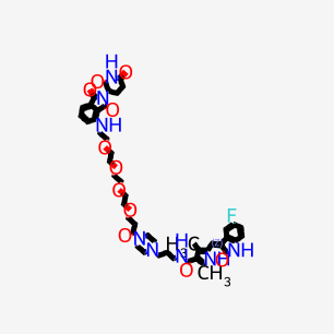 Cc1[nH]c(/C=C2\C(=O)Nc3ccc(F)cc32)c(C)c1C(=O)NCCCN1CCN(C(=O)CCOCCOCCOCCOCCNc2cccc3c2C(=O)N(C2CCC(=O)NC2=O)C3=O)CC1